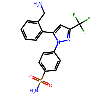 NCc1ccccc1-c1cc(C(F)(F)F)nn1-c1ccc(S(N)(=O)=O)cc1